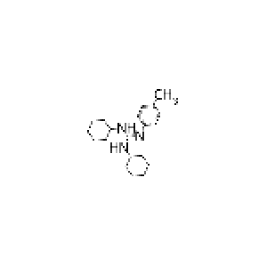 Cc1ccc(N=C(NC2CCCCC2)NC2CCCCC2)cc1